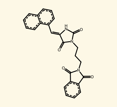 O=C1N/C(=C\c2cccc3ccccc23)C(=O)N1CCCN1C(=O)c2ccccc2C1=O